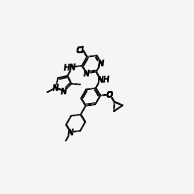 Cc1nn(C)cc1Nc1nc(Nc2ccc(C3CCN(C)CC3)cc2OC2CC2)ncc1Cl